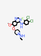 C=CNN1CCC(Oc2cc3c(Nc4ccc(Cl)c(Cl)c4F)ncnc3cc2OC)CC1